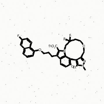 CCOC(=O)c1c(CCCOc2cccc3cc(F)ccc23)c2ccc(Cl)c3c2n1CC(F)(F)CCOCc1nn(C)c(CC)c1-3